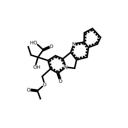 CCC(O)(C(=O)O)c1cc2n(c(=O)c1COC(C)=O)Cc1cc3ccccc3nc1-2